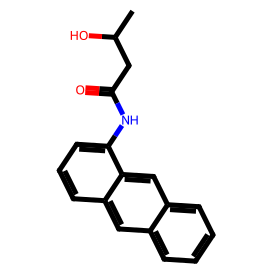 CC(O)CC(=O)Nc1cccc2cc3ccccc3cc12